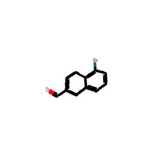 O=CC1=CCc2c(Br)cccc2C1